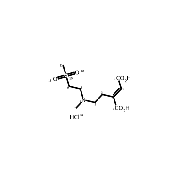 CN(CC/C(=C\C(=O)O)C(=O)O)CCS(C)(=O)=O.Cl